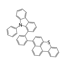 c1ccc(-n2c3ccccc3c3cccc(-c4ccccc4-c4ccc5c6c(cccc46)-c4ccccc4S5)c32)cc1